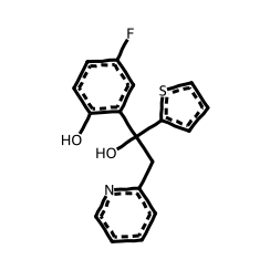 Oc1ccc(F)cc1C(O)(Cc1ccccn1)c1cccs1